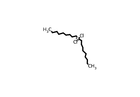 CCCCCCCCC[Si](Cl)(Cl)CCCCCCCCC